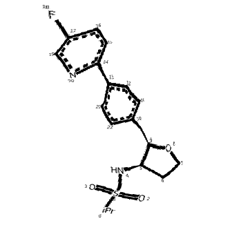 CC(C)S(=O)(=O)N[C@@H]1CCO[C@@H]1c1ccc(-c2ccc(F)cn2)cc1